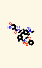 CC[C@@H]1CN(Cc2cc([C@@H](c3ccc4c(nnn4CC)c3C)C(C)(C)NC(=O)c3ccc(=O)[nH]c3)ccc2C)S(=O)(=O)c2ccccc2O1